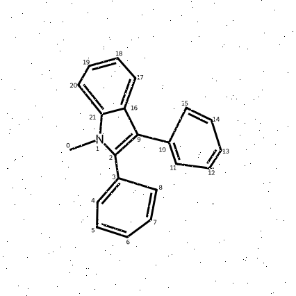 Cn1c(-c2ccccc2)c(-c2c[c]ccc2)c2ccccc21